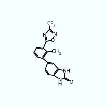 Cc1c(-c2ccc3[nH]c(=O)[nH]c3c2)cccc1-c1nc(C(F)(F)F)no1